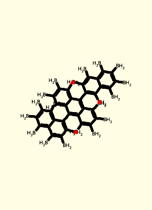 Bc1c(B)c(B)c2c(B)c(-c3c4c(B)c(B)c(B)c(B)c4c(-c4c(B)c(B)c(B)c5c(B)c(B)c(B)c(B)c45)c4c(B)c(B)c(B)c(B)c34)c(B)c(B)c2c1B